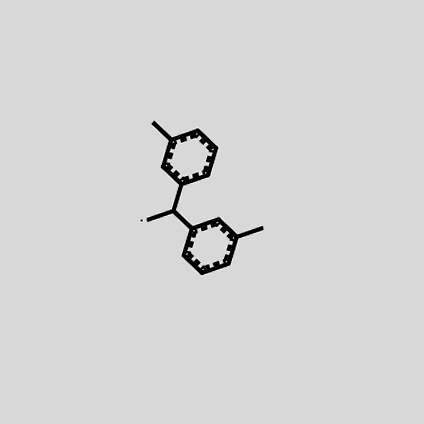 [CH2]C(c1cccc(C)c1)c1cccc(C)c1